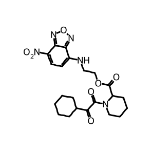 O=C(C(=O)N1CCCCC1C(=O)OCCNc1ccc([N+](=O)[O-])c2nonc12)C1CCCCC1